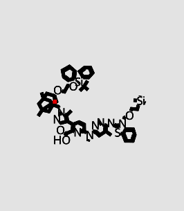 Cc1cc(N(C)c2ccc(-c3cnn(CC45CC6(C)CC(C)(C4)CC(OCCO[Si](c4ccccc4)(c4ccccc4)C(C)(C)C)(C6)C5)c3C)c(C(=O)O)n2)nnc1/N=c1\sc2ccccc2n1COCC[Si](C)(C)C